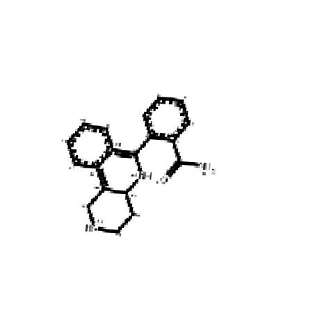 NC(=O)c1ccccc1C1=c2ccccc2=C2CNCCC2N1